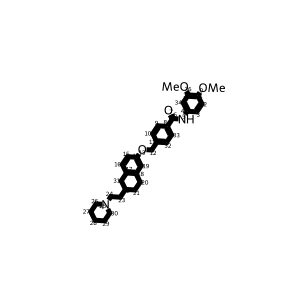 COc1ccc(NC(=O)c2ccc(COc3ccc4c(c3)CCC(CCN3CCCCC3)C4)cc2)cc1OC